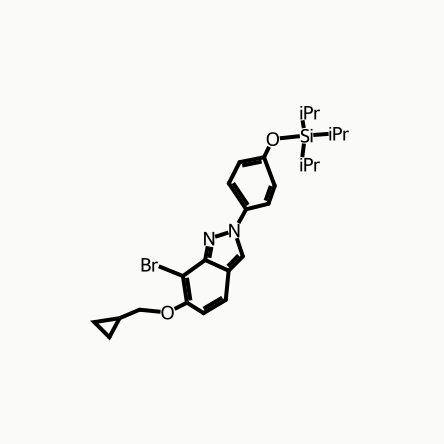 CC(C)[Si](Oc1ccc(-n2cc3ccc(OCC4CC4)c(Br)c3n2)cc1)(C(C)C)C(C)C